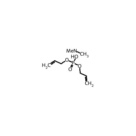 C=CCOP(=O)(O)OCC=C.CNC